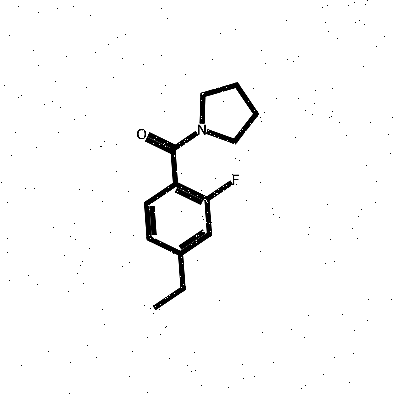 CCc1ccc(C(=O)N2CCCC2)c(F)c1